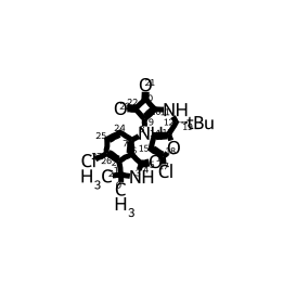 CC1(C)NC(=O)c2c(Nc3c(N[C@@H](c4ccc(Cl)o4)C(C)(C)C)c(=O)c3=O)ccc(Cl)c21